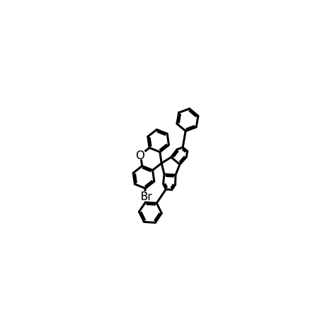 Brc1ccc2c(c1)C1(c3ccccc3O2)c2cc(-c3ccccc3)ccc2-c2ccc(-c3ccccc3)cc21